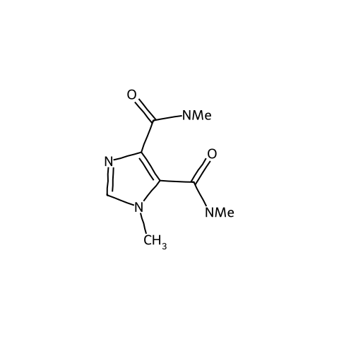 CNC(=O)c1ncn(C)c1C(=O)NC